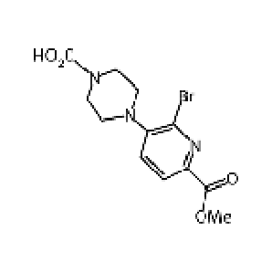 COC(=O)c1ccc(N2CCN(C(=O)O)CC2)c(Br)n1